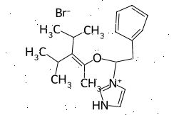 CC(OC(Cc1ccccc1)[n+]1cc[nH]c1)=C(C(C)C)C(C)C.[Br-]